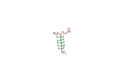 CC(OCC1CO1)C(F)(F)C(F)(F)C(F)(F)C(F)(F)C(F)(F)C(F)(F)F